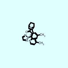 Cc1ccnc(OCC2CC3CCC2N3C(=O)c2cc(C)ccc2-n2nccn2)c1